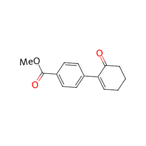 COC(=O)c1ccc(C2=CCCCC2=O)cc1